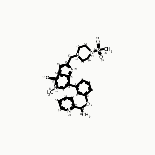 CC(Oc1cccc(-c2cn(C)c(=O)c3cc(CN4CCN(S(C)(=O)=O)CC4)sc23)c1)c1ccccn1